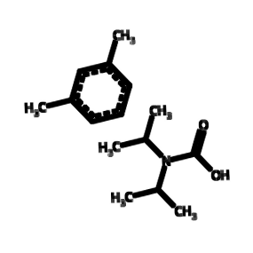 CC(C)N(C(=O)O)C(C)C.Cc1cccc(C)c1